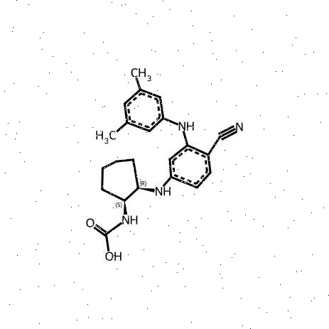 Cc1cc(C)cc(Nc2cc(N[C@@H]3CCCC[C@@H]3NC(=O)O)ccc2C#N)c1